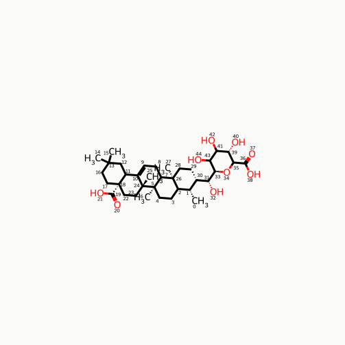 C[C@@H]1C2CC[C@]3(C)C(CC=C4C5CC(C)(C)CC[C@]5(C(=O)O)CC[C@]43C)[C@@]2(C)CC[C@@H]1[C@@H](O)[C@@H]1OC(C(=O)O)[C@@H](O)C(O)C1O